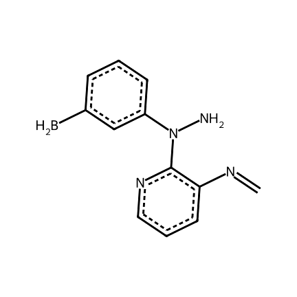 Bc1cccc(N(N)c2ncccc2N=C)c1